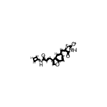 O=C(C=Cc1coc2ccc(C=C3SC(=O)NC3=O)cc12)NC1CCC1